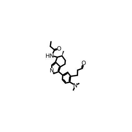 CCC(=O)NC1c2cncc(-c3ccc(N(C)C)c(CCC=O)c3)c2CC[C@@H]1C